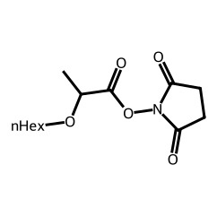 CCCCCCOC(C)C(=O)ON1C(=O)CCC1=O